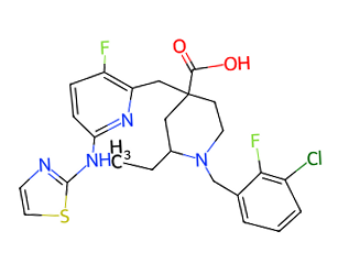 CCC1CC(Cc2nc(Nc3nccs3)ccc2F)(C(=O)O)CCN1Cc1cccc(Cl)c1F